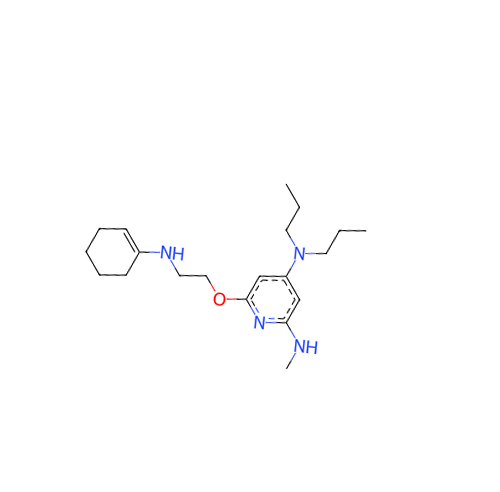 CCCN(CCC)c1cc(NC)nc(OCCNC2=CCCCC2)c1